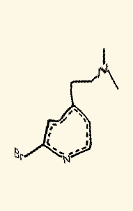 CN(C)Cc1ccnc(Br)c1